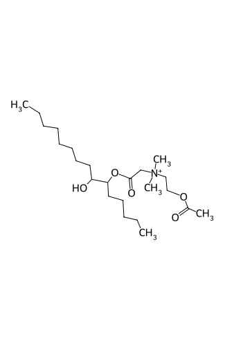 CCCCCCCCC(O)C(CCCCC)OC(=O)C[N+](C)(C)CCOC(C)=O